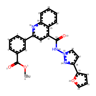 CC(C)(C)OC(=O)c1cccc(-c2cc(C(=O)Nn3ccc(-c4ccco4)n3)c3ccccc3n2)c1